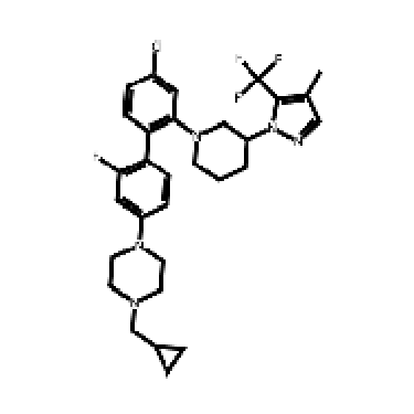 Cc1cnn(C2CCCN(c3cc(Cl)ccc3-c3ccc(N4CCN(CC5CC5)CC4)cc3F)C2)c1C(F)(F)F